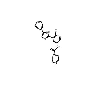 O=C(Nc1ccc(Cl)c(-c2ncc(-c3ccccc3)[nH]2)c1)c1ccncc1